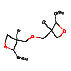 CCC1(COCC2(CC)COC2OC)COC1OC